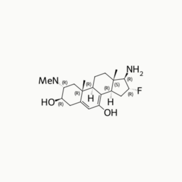 CN[C@@H]1C[C@@]2(C)C(=CC(O)=C3[C@@H]4C[C@@H](F)[C@H](N)[C@@]4(C)CC[C@@H]32)C[C@H]1O